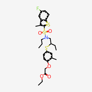 CCCN(CC(CC)Sc1ccc(OCC(=O)OCC)c(C)c1)S(=O)(=O)c1sc2ccc(F)cc2c1C